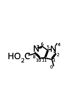 Cc1cn(C)c2cnc(C(=O)O)cc12